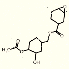 CC(=O)OC1CCC(COC(=O)C2CCC3OC3C2)CC1O